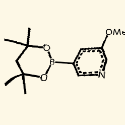 COc1cncc(B2OC(C)(C)CC(C)(C)O2)c1